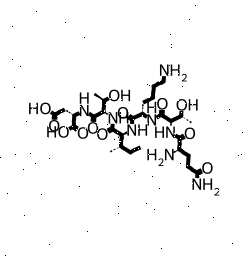 CC[C@H](C)[C@H](NC(=O)[C@H](CCCCN)NC(=O)[C@@H](NC(=O)[C@@H](N)CCC(N)=O)[C@@H](C)O)C(=O)N[C@H](C(=O)N[C@@H](CC(=O)O)C(=O)O)[C@@H](C)O